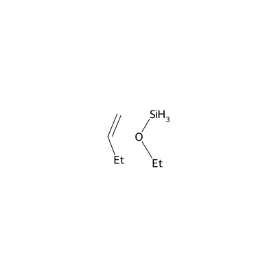 C=CCC.CCO[SiH3]